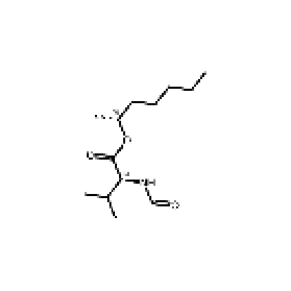 CCCCC[C@@H](C)OC(=O)[C@@H](NC=O)C(C)C